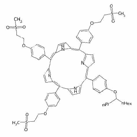 CCCCCCC(CCC)Oc1ccc(-c2c3nc(c(-c4ccc(OCCS(C)(=O)=O)cc4)c4ccc([nH]4)c(-c4ccc(OCCS(C)(=O)=O)cc4)c4nc(c(-c5ccc(OCCS(C)(=O)=O)cc5)c5ccc2[nH]5)C=C4)C=C3)cc1